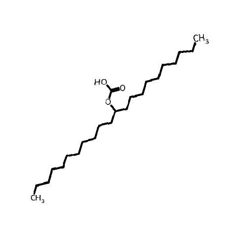 CCCCCCCCCCCC(CCCCCCCCCC)OC(=O)O